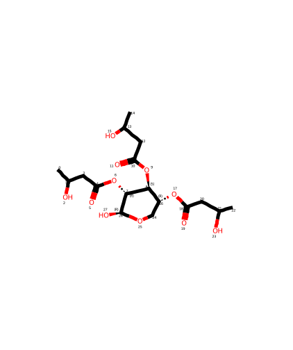 CC(O)CC(=O)O[C@@H]1[C@@H](OC(=O)CC(C)O)[C@H](OC(=O)CC(C)O)CO[C@H]1O